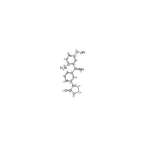 CC(C)Oc1cc(C(=N)c2ccnc(N3CCOC3=O)c2)c(N)cn1